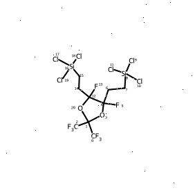 FC(F)(F)C1(C(F)(F)F)OC(F)(CC[Si](Cl)(Cl)Cl)C(F)(CC[Si](Cl)(Cl)Cl)O1